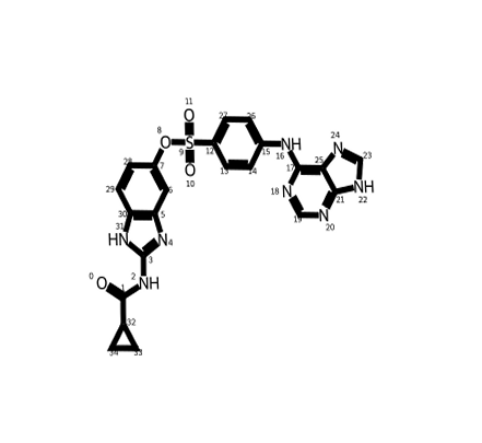 O=C(Nc1nc2cc(OS(=O)(=O)c3ccc(Nc4ncnc5[nH]cnc45)cc3)ccc2[nH]1)C1CC1